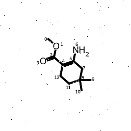 COC(=O)C1=C(N)CC(C)(C)CC1